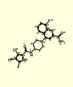 Cc1[nH]c(C(=O)NC2CCN(c3cc(C(N)=O)nc4c(F)cccc34)CC2)c(Cl)c1Cl